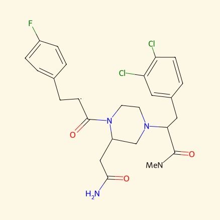 CNC(=O)C(Cc1ccc(Cl)c(Cl)c1)N1CCN(C(=O)[CH]Cc2ccc(F)cc2)C(CC(N)=O)C1